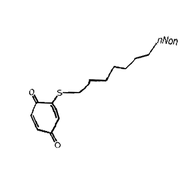 CCCCCCCCCCCCCCCCSC1=CC(=O)C=CC1=O